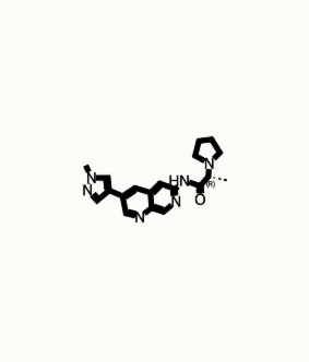 C[C@H](C(=O)Nc1cc2cc(-c3cnn(C)c3)cnc2cn1)N1CCCC1